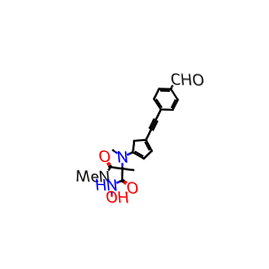 CNC(=O)C(C)(C(=O)NO)N(C)C1=CC=C(C#Cc2ccc(C=O)cc2)C1